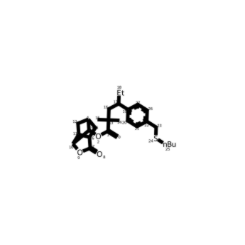 C=C(OC1C2CC3C(=O)OC1C3C2)C(C)(C)CC(CC)c1ccc(CSCCCC)cc1